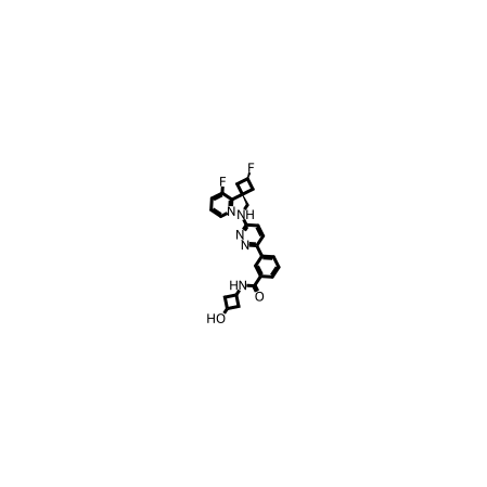 O=C(NC1CC(O)C1)c1cccc(-c2ccc(NC[C@]3(c4ncccc4F)C[C@H](F)C3)nn2)c1